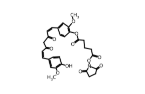 COc1cc(/C=C\C(=O)CC(=O)/C=C\c2ccc(OC(=O)CCCC(=O)ON3C(=O)CCC3=O)c(OC)c2)ccc1O